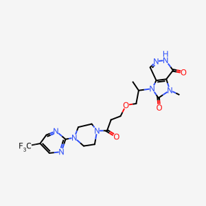 CC(COCCC(=O)N1CCN(c2ncc(C(F)(F)F)cn2)CC1)n1c(=O)n(C)c2c(=O)[nH]ncc21